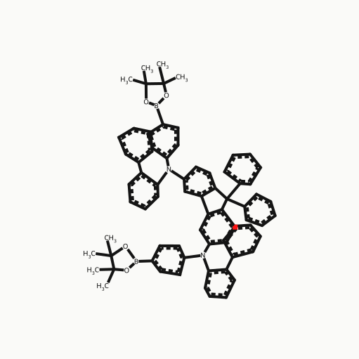 CC1(C)OB(c2ccc(N(c3ccc4c(c3)-c3cc(N(c5ccc(B6OC(C)(C)C(C)(C)O6)cc5)c5ccccc5-c5ccccc5)ccc3C4(c3ccccc3)c3ccccc3)c3ccccc3-c3ccccc3)cc2)OC1(C)C